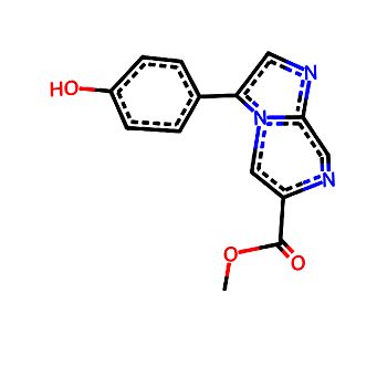 COC(=O)c1cn2c(-c3ccc(O)cc3)cnc2cn1